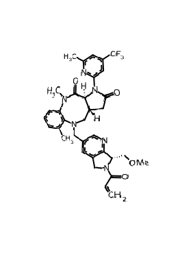 C=CC(=O)N1Cc2cc(CN3C[C@H]4CC(=O)N(c5cc(C(F)(F)F)cc(C)n5)[C@@H]4C(=O)N(C)c4cccc(C)c43)cnc2[C@@H]1COC